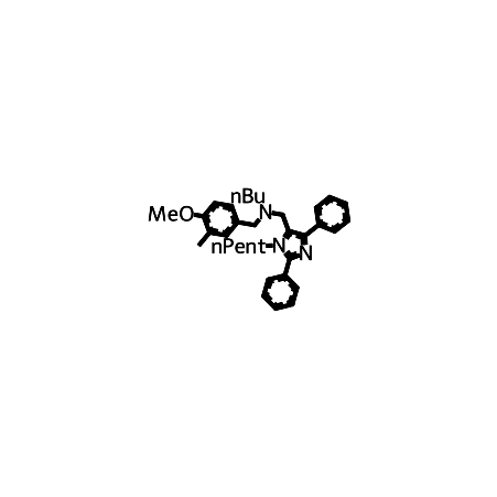 CCCCCn1c(-c2ccccc2)nc(-c2ccccc2)c1CN(CCCC)Cc1ccc(OC)c(C)c1